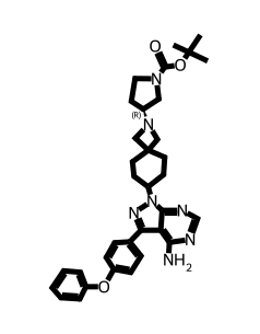 CC(C)(C)OC(=O)N1CC[C@@H](N2CC3(CCC(n4nc(-c5ccc(Oc6ccccc6)cc5)c5c(N)ncnc54)CC3)C2)C1